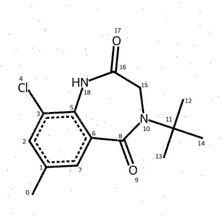 Cc1cc(Cl)c2c(c1)C(=O)N(C(C)(C)C)CC(=O)N2